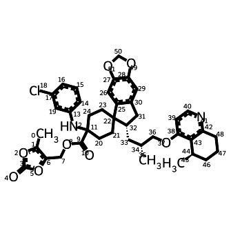 Cc1oc(=O)oc1COC(=O)C1(Nc2cccc(Cl)c2)CCC2(CC1)c1cc3c(cc1C[C@@H]2C[C@@H](C)COc1ccnc2c1[C@H](C)CCC2)OCO3